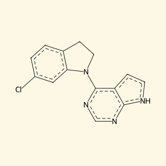 Clc1ccc2c(c1)N(c1ncnc3[nH]ccc13)CC2